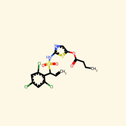 C=CC(c1c(Cl)cc(Cl)cc1Cl)S(=O)(=O)Nc1ncc(OC(=O)CCC)s1